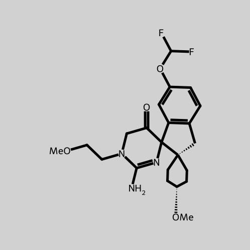 COCCN1CC(=O)C2(N=C1N)c1cc(OC(F)F)ccc1C[C@]21CC[C@@H](OC)CC1